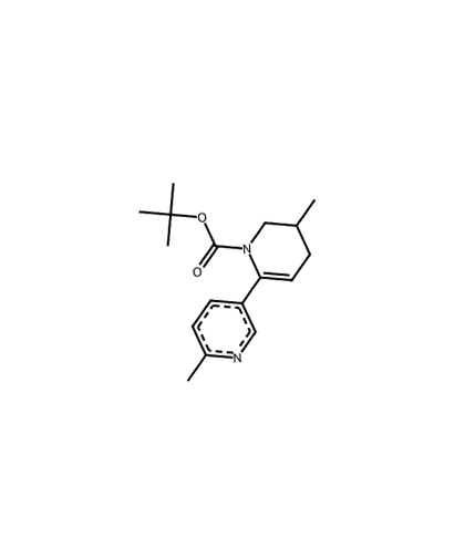 Cc1ccc(C2=CCC(C)CN2C(=O)OC(C)(C)C)cn1